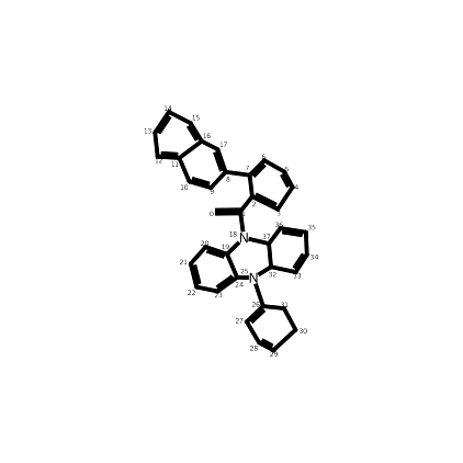 C=C(c1ccccc1-c1ccc2ccccc2c1)N1c2ccccc2N(C2=CC=CCC2)C2C=CC=CC21